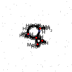 CCCCC1C(=O)OC(C(C)C(O)CCCNC(=N)N)C(C)/C=C(\C)CCCCC(O)CC(O)CC(O)CC(O)CC(O)C(O[C@H]2O[C@H](CO)[C@@H](O)[C@@H]2O)/C=C(\C)C(O)CCCC(O)CCCC(O)CCC(C)C1O.CO[C@H]1C[C@H](O[C@H]2[C@H](C)[C@@H](O[C@@H]3O[C@H](C)C[C@H](N(C)C)[C@H]3O)[C@@H](C)C[C@]3(CO3)C(=O)[C@H](C)[C@@H](O)[C@@H](C)[C@@H](C)OC(=O)[C@@H]2C)O[C@@H](C)[C@@H]1O